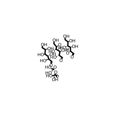 O=C[C@@H](O)[C@@H](O)[C@H](O)[C@H](O)CO.O=C[C@H](O)[C@@H](O)[C@H](O)[C@H](O)CO.O=C[C@H](O)[C@@H](O)[C@H](O)[C@H](O)CO.O=P(O)(O)OP(=O)(O)O